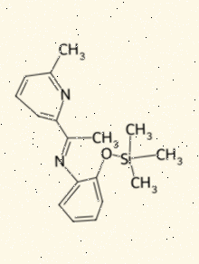 CC(=Nc1ccccc1O[Si](C)(C)C)c1cccc(C)n1